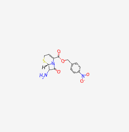 NC1C(=O)N2C(C(=O)OCc3ccc([N+](=O)[O-])cc3)=CCS[C@@H]12